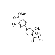 COC(=O)c1ccc(N2CCN(C(=O)OC(C)(C)C)C(C)(C)C2)nc1N